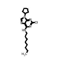 CCCCCCCCNc1nc(Cl)nc2c1ncn2C1CCCC1